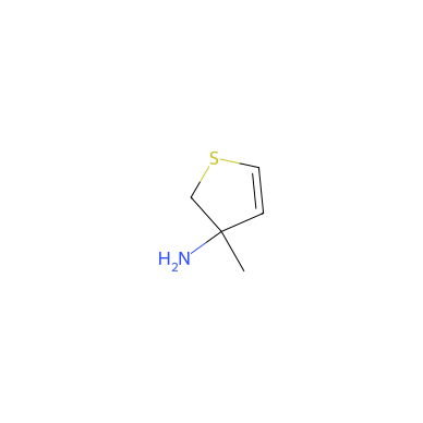 CC1(N)C=CSC1